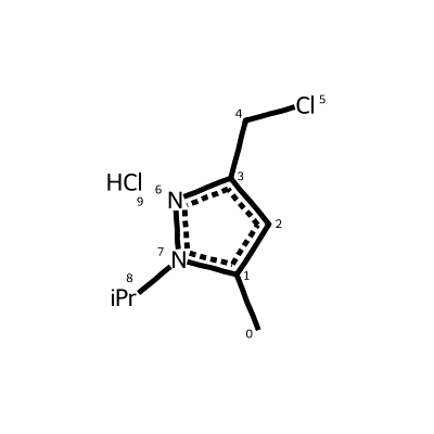 Cc1cc(CCl)nn1C(C)C.Cl